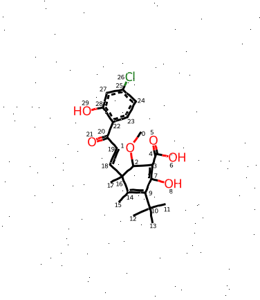 COC1C(C(=O)O)=C(O)C(C(C)(C)C)=C(C)C1(C)C=CC(=O)c1ccc(Cl)cc1O